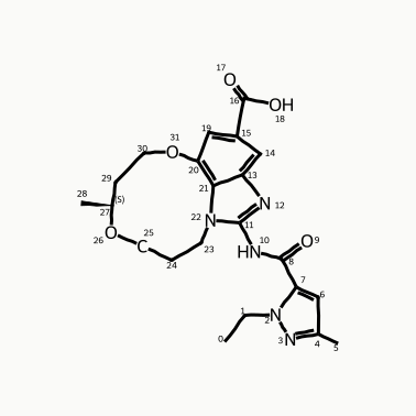 CCn1nc(C)cc1C(=O)Nc1nc2cc(C(=O)O)cc3c2n1CCCO[C@@H](C)CCO3